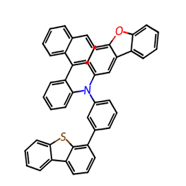 c1cc(-c2cccc3c2sc2ccccc23)cc(N(c2ccc3oc4ccccc4c3c2)c2ccccc2-c2cccc3ccccc23)c1